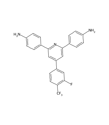 Nc1ccc(-c2cc(-c3ccc(C(F)(F)F)c(F)c3)cc(-c3ccc(N)cc3)n2)cc1